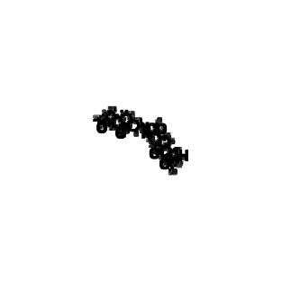 CC(=O)O[C@]1(N=NC2CC[C@@]3(C)C(CCC4C3C(=O)C[C@@]3(C)C4CC[C@@H]3C(C)=O)C2)CC[C@@]2(C)C(CCC3C2C(=O)C[C@@]2(C)C3C[C@H]3C[C@]32C(C)=O)C1